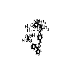 Cc1c(C)c2c(c(C)c1N)CC(C)(CCN1CCC(CCOC(c3ccccc3)c3ccccc3)CC1)O2.O=C(O)C(=O)O